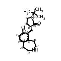 CC(C)(C)N1CCN(Cc2c(Cl)ccc3c2CCNCC3)C1=O